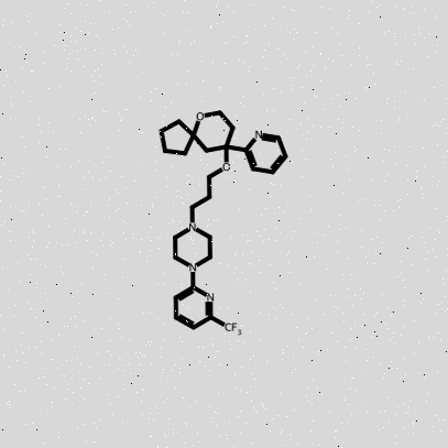 FC(F)(F)c1cccc(N2CCN(CCCOC3(c4ccccn4)CCOC4(CCCC4)C3)CC2)n1